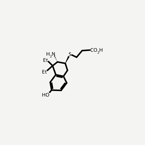 CCC1(CC)c2cc(O)ccc2C[C@H](SCCC(=O)O)[C@H]1N